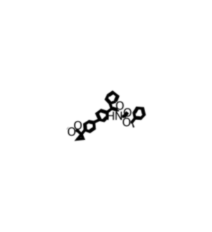 COC(=O)C1(c2ccc(-c3ccc(-c4c(NC(=O)O[C@H](C)c5ccccc5)oc5ccccc45)cc3)cc2)CC1